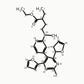 CCOC(=O)C(CC)CCN(C)c1cc(-c2c(-c3ccco3)nc(I)nc2C2CC=CO2)ccn1